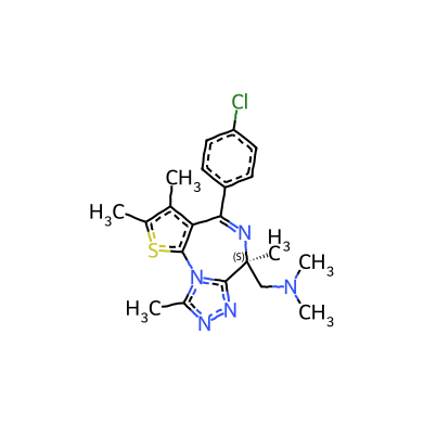 Cc1sc2c(c1C)C(c1ccc(Cl)cc1)=N[C@@](C)(CN(C)C)c1nnc(C)n1-2